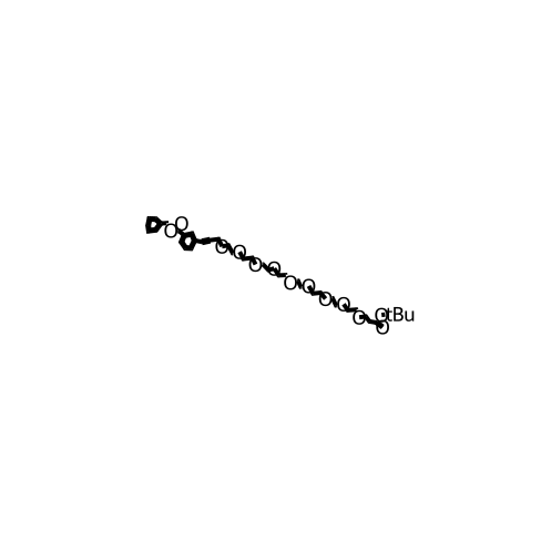 CC(C)(C)OC(=O)CCOCCOCCOCCOCCOCCOCCOCCOCCOCC#Cc1cccc(C(=O)OCc2ccccc2)c1